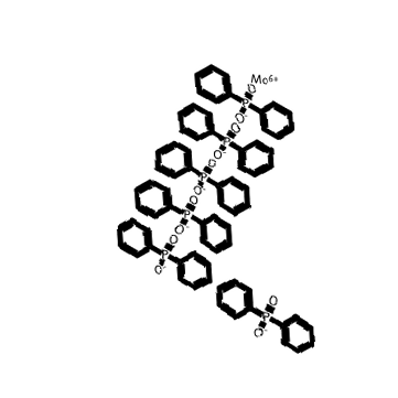 O=P([O-])(c1ccccc1)c1ccccc1.O=P([O-])(c1ccccc1)c1ccccc1.O=P([O-])(c1ccccc1)c1ccccc1.O=P([O-])(c1ccccc1)c1ccccc1.O=P([O-])(c1ccccc1)c1ccccc1.O=P([O-])(c1ccccc1)c1ccccc1.[Mo+6]